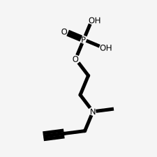 C#CCN(C)CCOP(=O)(O)O